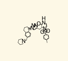 Cc1ccc(S(=O)(=O)N2C=CNC(=O)C2Cc2cn([C@@H]3CCCc4cc(CN5CCCCC5)ccc43)nn2)cc1